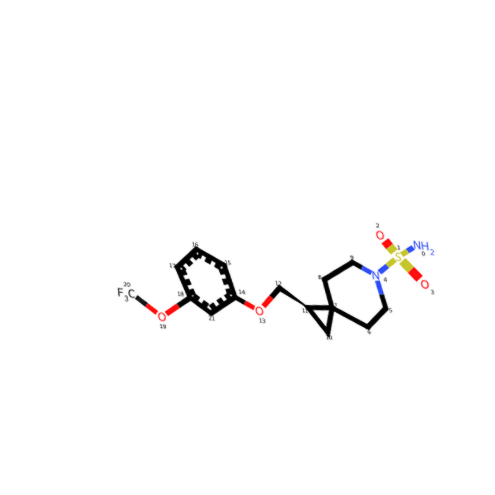 NS(=O)(=O)N1CCC2(CC1)C[C@H]2COc1cccc(OC(F)(F)F)c1